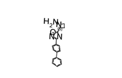 NN1CC[C@H]1c1nc(-c2ccc(-c3ccccc3)cc2)no1